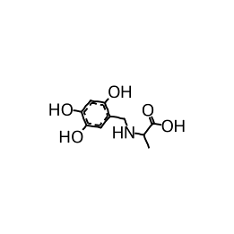 CC(NCc1cc(O)c(O)cc1O)C(=O)O